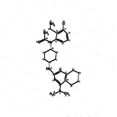 CN(C)c1nc(N[C@H]2CC[C@@H](N(C(N)=O)c3cccc(Cl)c3CN)CC2)nc2c1CCCC2